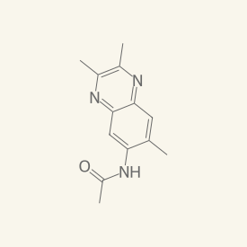 CC(=O)Nc1cc2nc(C)c(C)nc2cc1C